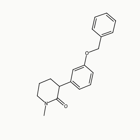 CN1CCCC(c2cccc(OCc3ccccc3)c2)C1=O